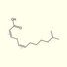 CC(C)CCCC/C=C\C/C=C\C(=O)O